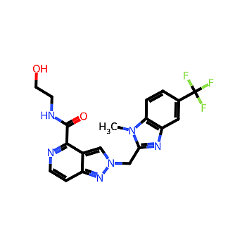 Cn1c(Cn2cc3c(C(=O)NCCO)nccc3n2)nc2cc(C(F)(F)F)ccc21